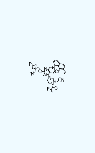 C=C(F)C(=O)N1CCN(c2nc(OCC3(CN(C)C)CC(F)C3)nc3c2CCN(c2cccc4ccc(F)c(Cl)c24)C3)C[C@@H]1CC#N